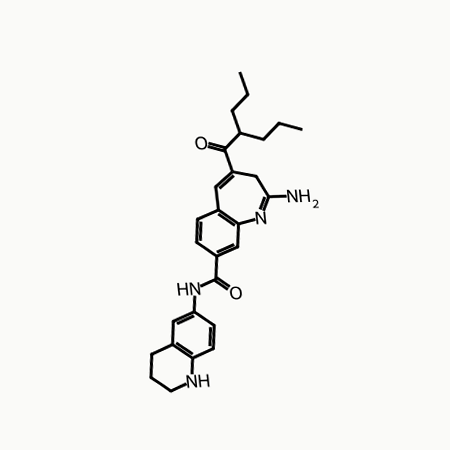 CCCC(CCC)C(=O)C1=Cc2ccc(C(=O)Nc3ccc4c(c3)CCCN4)cc2N=C(N)C1